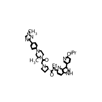 CCN(C(=O)[C@@H]1CCN(CC(=O)N2CCN(c3ccc(-c4ncn(C)n4)cc3)C[C@@H]2C)C1)c1ccc2[nH]nc(-c3ccc(OC(C)C)nc3)c2n1